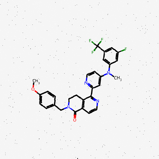 COc1ccc(CN2CCc3c(ccnc3-c3cc(N(C)c4cc(F)cc(C(F)(F)F)c4)ccn3)C2=O)cc1